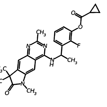 Cc1nc(NC(C)c2cccc(OC(=O)C3CC3)c2F)c2cc3c(cc2n1)C(C)(C)C(=O)N3C